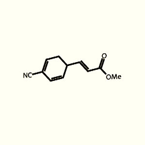 COC(=O)C=CC1C=CC(C#N)=CC1